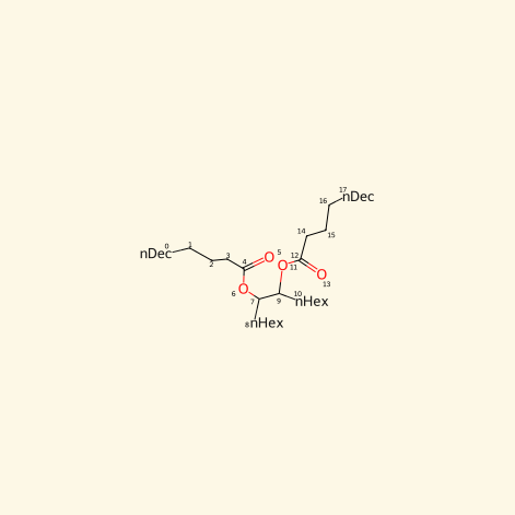 CCCCCCCCCCCCCC(=O)OC(CCCCCC)C(CCCCCC)OC(=O)CCCCCCCCCCCCC